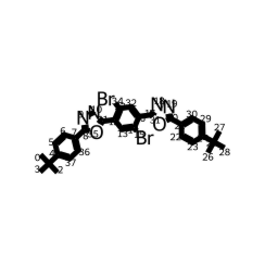 CC(C)(C)c1ccc(-c2nnc(-c3cc(Br)c(-c4nnc(-c5ccc(C(C)(C)C)cc5)o4)cc3Br)o2)cc1